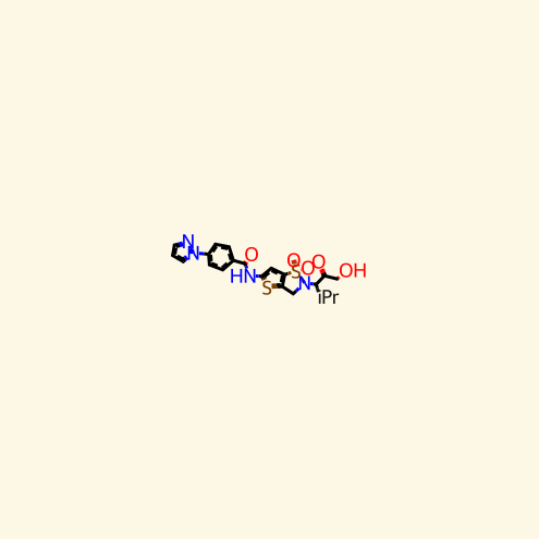 CC(C)C(C(=O)CO)N1Cc2sc(NC(=O)c3ccc(-n4cccn4)cc3)cc2S1(=O)=O